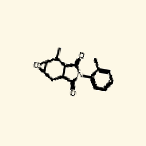 Cc1ccccc1N1C(=O)C2CC3OC3C(C)C2C1=O